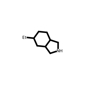 CCC1CCC2CNCC2C1